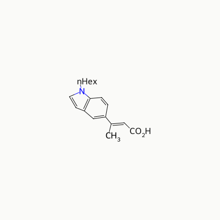 CCCCCCn1ccc2cc(C(C)=CC(=O)O)ccc21